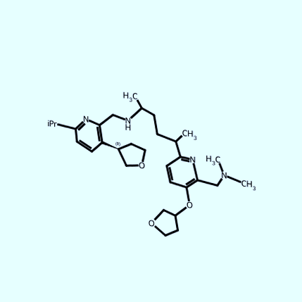 CC(CCC(C)c1ccc(OC2CCOC2)c(CN(C)C)n1)NCc1nc(C(C)C)ccc1[C@H]1CCOC1